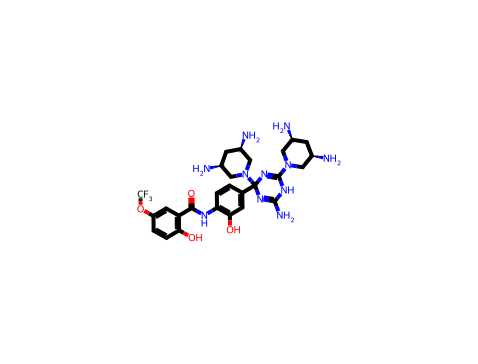 NC1=NC(c2ccc(NC(=O)c3cc(OC(F)(F)F)ccc3O)c(O)c2)(N2C[C@H](N)C[C@H](N)C2)N=C(N2C[C@H](N)C[C@H](N)C2)N1